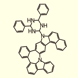 c1ccc(C2NC(c3ccccc3)NC(n3c4cc5c(cc4c4c6ccccc6ccc43)-n3c4ccccc4c4cccc(c43)-c3ccccc3-5)N2)cc1